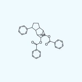 O=C(OC1C2NC(C1OC(=O)c1ccccc1)C1C(c3ccccc3)CCC21)c1ccccc1